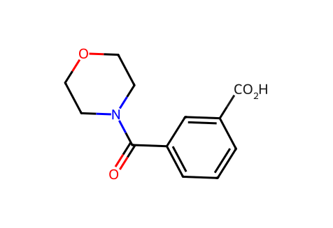 O=C(O)c1cccc(C(=O)N2CCOCC2)c1